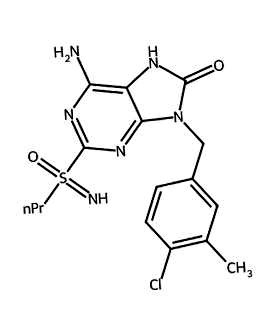 CCCS(=N)(=O)c1nc(N)c2[nH]c(=O)n(Cc3ccc(Cl)c(C)c3)c2n1